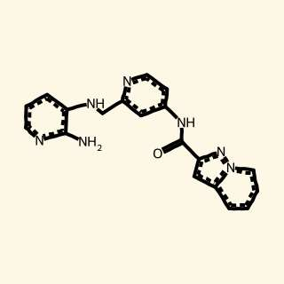 Nc1ncccc1NCc1cc(NC(=O)c2cc3ccccn3n2)ccn1